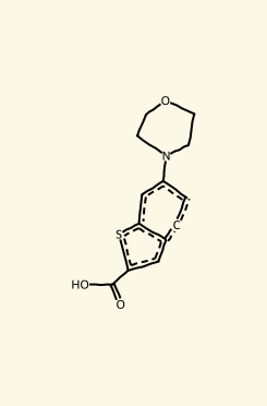 O=C(O)c1cc2ccc(N3CCOCC3)cc2s1